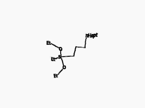 CCCCCCCCCC[Si](CC)(OCC)OCC